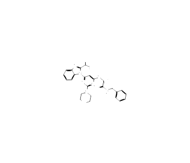 CCN(Cc1ccccc1)C(=O)[C@H](C)Nc1cc(-n2c(C(F)F)nc3ccccc32)nc(N2CCOCC2)n1